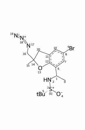 CC(N[S@+]([O-])C(C)(C)C)c1cc(Br)cc2c1OC(C)(CN=[N+]=[N-])C2